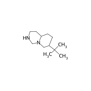 CC(C)(C)C1CCC2CCNCN2C1